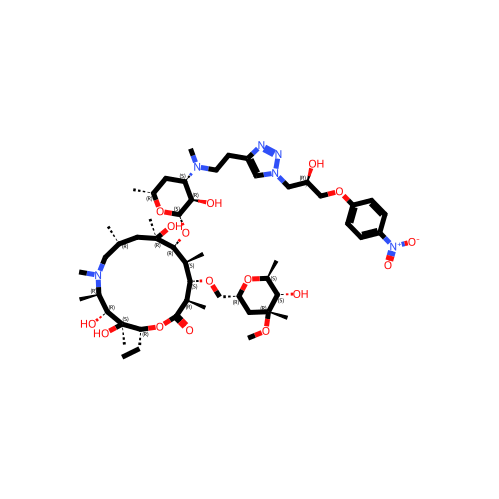 CC[C@H]1OC(=O)[C@H](C)[C@@H](OC[C@H]2C[C@@](C)(OC)[C@@H](O)[C@H](C)O2)[C@H](C)[C@@H](O[C@@H]2O[C@H](C)C[C@H](N(C)CCc3cn(C[C@@H](O)COc4ccc([N+](=O)[O-])cc4)nn3)[C@H]2O)[C@](C)(O)C[C@@H](C)CN(C)[C@H](C)[C@@H](O)[C@]1(C)O